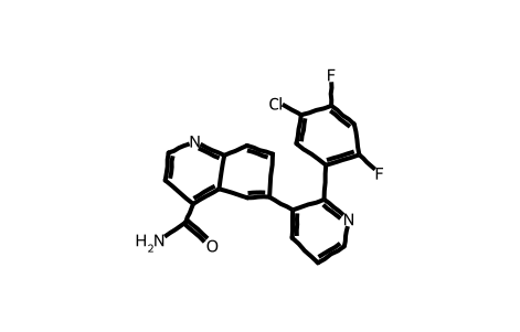 NC(=O)c1ccnc2ccc(-c3cccnc3-c3cc(Cl)c(F)cc3F)cc12